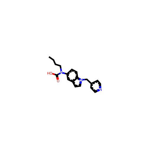 CCCCN(C(=O)O)c1ccc2c(ccn2Cc2ccncc2)c1